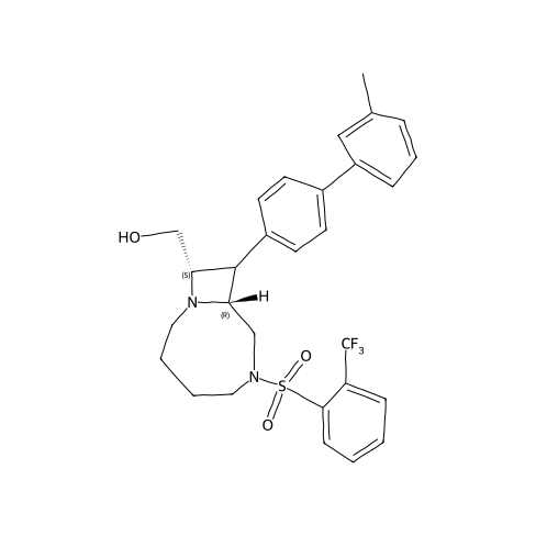 Cc1cccc(-c2ccc(C3[C@@H](CO)N4CCCCN(S(=O)(=O)c5ccccc5C(F)(F)F)C[C@@H]34)cc2)c1